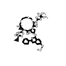 COc1ccc2c(O[C@@H]3C[C@H]4C(=O)N[C@]5(C(=O)NS(=O)(=O)C6CC6)C[C@H]5CCCCCCC[C@H](NC(=O)OC(C)(C)C)C(=O)N4C3)nc(-c3ccccc3)cc2c1